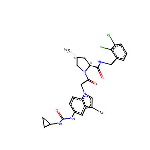 CC(=O)c1cn(CC(=O)N2C[C@H](C)C[C@H]2C(=O)NCc2cccc(Cl)c2F)c2ccc(NC(=O)NC3CC3)cc12